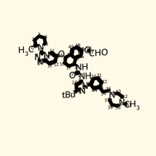 CC1CCCCN1c1nnc2ccc(O[C@@H]3CC[C@H](NC(=O)Nc4cc(C(C)(C)C)nn4-c4cccc(CCN5CCCN(C)CC5)c4)c4ccccc43)cn12.O=CO